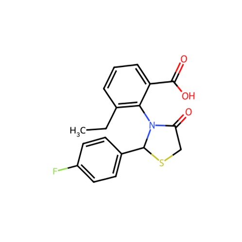 CCc1cccc(C(=O)O)c1N1C(=O)CSC1c1ccc(F)cc1